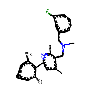 CCc1cccc(CC)c1-c1cc(C)c(CN(C)Cc2cccc(F)c2)c(C)n1